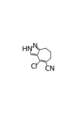 N#CC1=C(Cl)c2c[nH]nc2CCC1